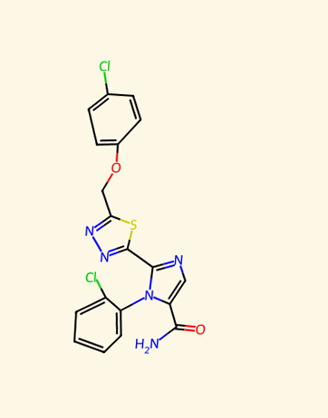 NC(=O)c1cnc(-c2nnc(COc3ccc(Cl)cc3)s2)n1-c1ccccc1Cl